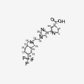 O=C(O)c1ccnc(-c2cn(CCN3Cc4ccc(C(F)(F)F)cc4C3)cn2)c1